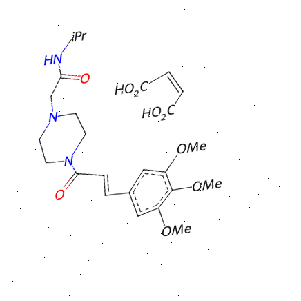 COc1cc(C=CC(=O)N2CCN(CC(=O)NC(C)C)CC2)cc(OC)c1OC.O=C(O)/C=C\C(=O)O